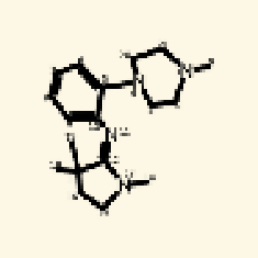 CN1CCN(c2ccccc2N=C2N(C)CCC2(C)C)CC1